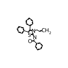 C=CCn1c(-c2ccccc2)c(-c2ccccc2)sc1=NC(=O)c1ccccc1